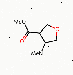 CNC1COCC1C(=O)OC